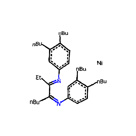 CCCCC(=Nc1ccc(CCCC)c(CCCC)c1)C(CC)=Nc1ccc(CCCC)c(CCCC)c1.[Ni]